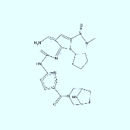 C=C(/N=C1\C(=C/N)C=C(C(=O)N(C)C)N1C1CCCC1)Nc1ccc(C(=O)N2CC3CCC(C2)N3)cn1